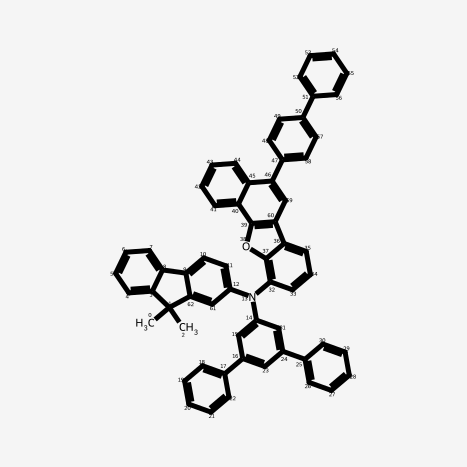 CC1(C)c2ccccc2-c2ccc(N(c3cc(-c4ccccc4)cc(-c4ccccc4)c3)c3cccc4c3oc3c5ccccc5c(-c5ccc(-c6ccccc6)cc5)cc43)cc21